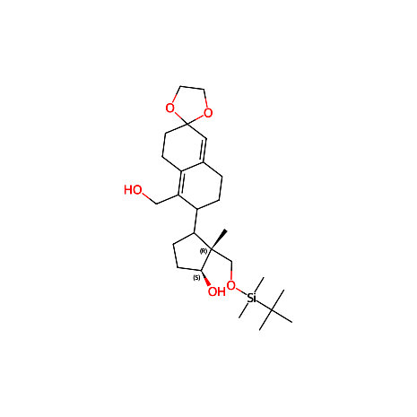 CC(C)(C)[Si](C)(C)OC[C@@]1(C)C(C2CCC3=CC4(CCC3=C2CO)OCCO4)CC[C@@H]1O